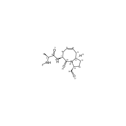 CN[C@@H](C)C(=O)N[C@H]1C/C=C\C[C@H]2CC[C@@H](C=O)N2C1=O